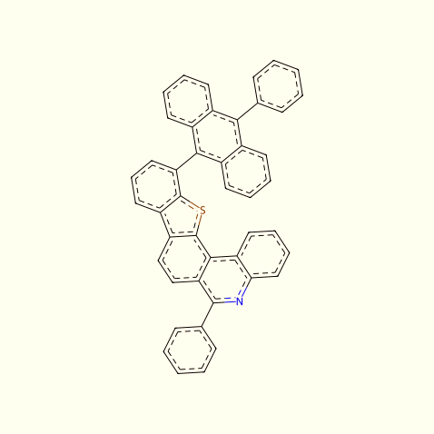 c1ccc(-c2c3ccccc3c(-c3cccc4c3sc3c4ccc4c(-c5ccccc5)nc5ccccc5c43)c3ccccc23)cc1